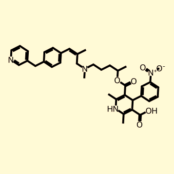 CC(=Cc1ccc(Cc2cccnc2)cc1)CN(C)CCCC(C)OC(=O)C1=C(C)NC(C)=C(C(=O)O)C1c1cccc([N+](=O)[O-])c1